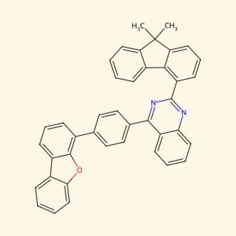 CC1(C)c2ccccc2-c2c(-c3nc(-c4ccc(-c5cccc6c5oc5ccccc56)cc4)c4ccccc4n3)cccc21